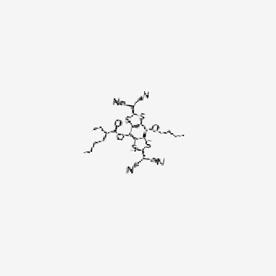 CCCCOc1c2c(c(OC(=O)C(CC)CCCC)c3c1SC(=C(C#N)C#N)S3)SC(=C(C#N)C#N)S2